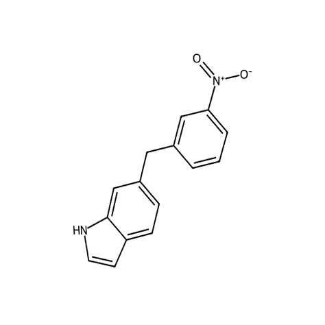 O=[N+]([O-])c1cccc(Cc2ccc3cc[nH]c3c2)c1